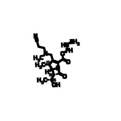 BNPOC(=O)C1=C(CN(C)CCC#N)[C@H](C)[C@@H]2[C@@H]([C@@H](C)O)C(=O)N12